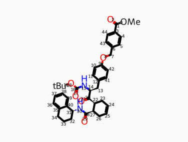 COC(=O)c1ccc(COc2ccc(C[C@H](NC(=O)OC(C)(C)C)C(=O)[C@H]3CC=CC[C@H]3C(=O)N[C@@H]3CCCc4ccccc43)cc2)cc1